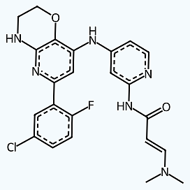 CN(C)C=CC(=O)Nc1cc(Nc2cc(-c3cc(Cl)ccc3F)nc3c2OCCN3)ccn1